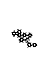 c1ccc(-c2cccc(-c3nc(-c4ccccc4)cc(-c4ccccc4-c4ccc(-c5ccc6c7c(cccc57)-c5ccccc5-6)cc4)n3)c2)cc1